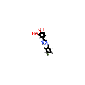 Oc1ccc(-c2cn(Cc3ccc(F)cc3)nn2)cc1O